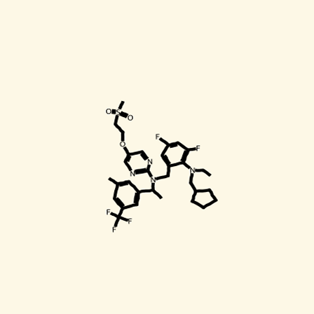 CCN(CC1CCCC1)c1c(F)cc(F)cc1CN(c1ncc(OCCS(C)(=O)=O)cn1)C(C)c1cc(C)cc(C(F)(F)F)c1